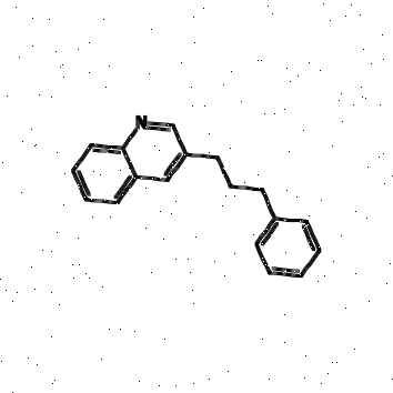 c1ccc(CCCc2cnc3ccccc3c2)cc1